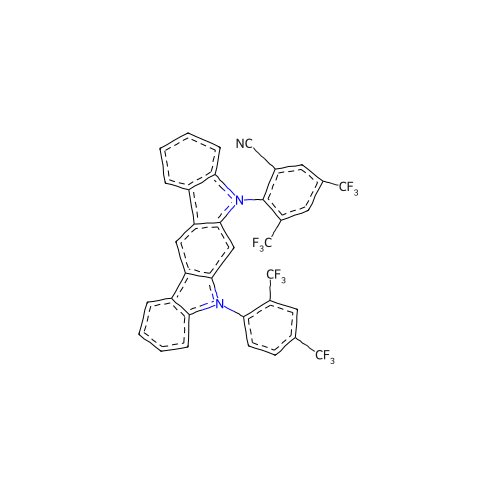 N#Cc1cc(C(F)(F)F)cc(C(F)(F)F)c1-n1c2ccccc2c2cc3c4ccccc4n(-c4ccc(C(F)(F)F)cc4C(F)(F)F)c3cc21